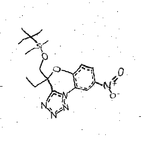 CCC1(CO[Si](C)(C)C(C)(C)C)Oc2ccc([N+](=O)[O-])cc2-n2nnnc21